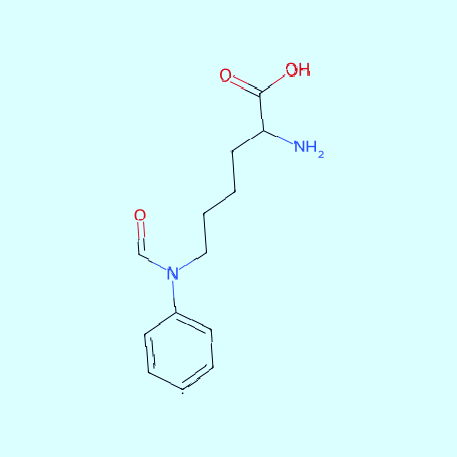 NC(CCCCN(C=O)c1cc[c]cc1)C(=O)O